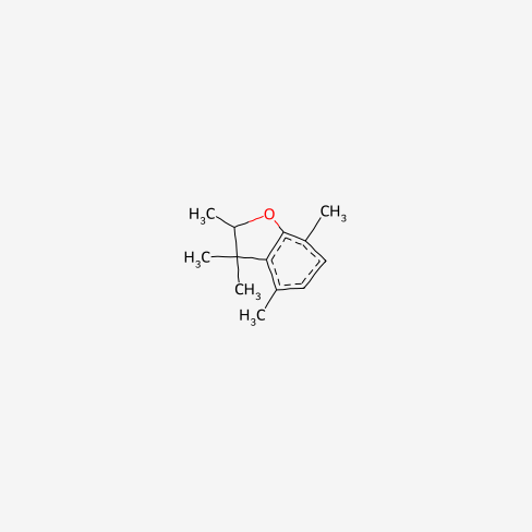 Cc1ccc(C)c2c1OC(C)C2(C)C